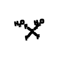 F[B-](F)(F)F.O.O